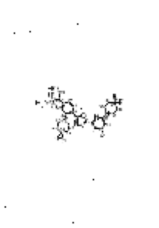 Cc1cc(-c2nnc(-c3ccc(C(CO)S(N)(=O)=O)cc3N3CCC4(CC3)CC4)o2)nc(N2CCC(F)(F)CC2)c1